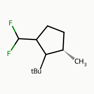 C[C@H]1CCC(C(F)F)C1C(C)(C)C